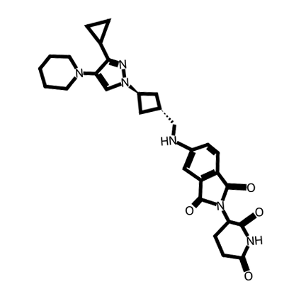 O=C1CCC(N2C(=O)c3ccc(NC[C@H]4C[C@H](n5cc(N6CCCCC6)c(C6CC6)n5)C4)cc3C2=O)C(=O)N1